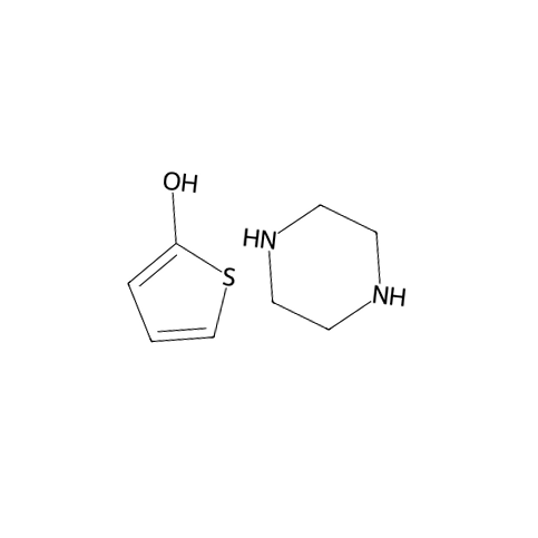 C1CNCCN1.Oc1cccs1